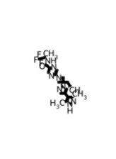 C#CCC1(n2cc(-c3c(C)n[nH]c3C)cn2)CN(c2cnc(C(=O)N[C@@H](C)C(F)(F)F)cn2)C1